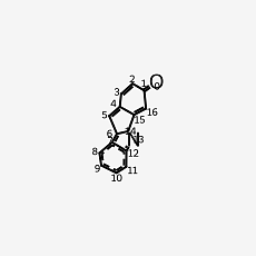 O=C1C=CC2=CC3=c4ccccc4=NC3C2=C1